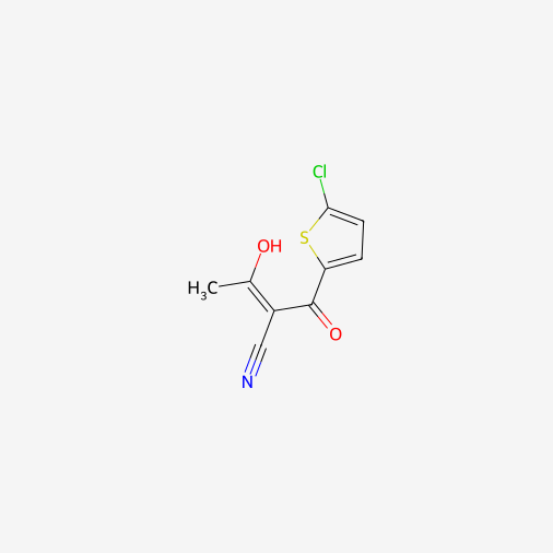 CC(O)=C(C#N)C(=O)c1ccc(Cl)s1